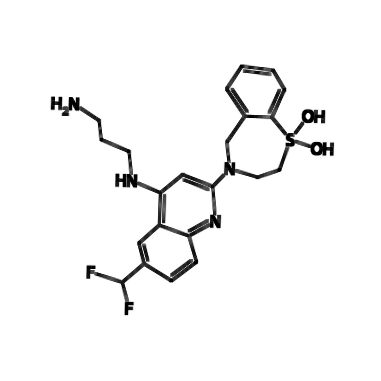 NCCCNc1cc(N2CCS(O)(O)c3ccccc3C2)nc2ccc(C(F)F)cc12